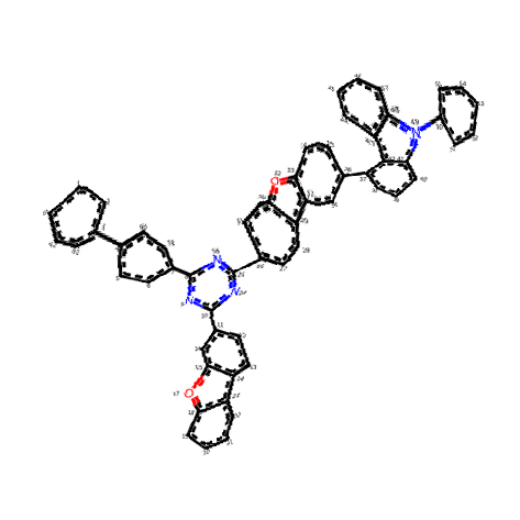 c1ccc(-c2ccc(-c3nc(-c4ccc5c(c4)oc4ccccc45)nc(-c4ccc5c(c4)oc4ccc(-c6cccc7c6c6ccccc6n7-c6ccccc6)cc45)n3)cc2)cc1